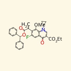 C=C(C(=O)OC(c1ccccc1)c1ccccc1)c1c(F)cc2c(=O)c(C(=O)OCC)cn(C3CC3)c2c1OC